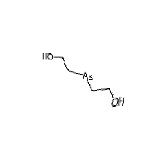 OCC[As]CCO